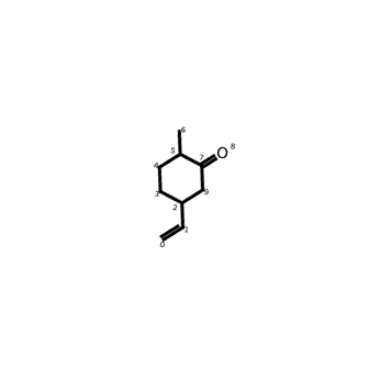 C=CC1CCC(C)C(=O)C1